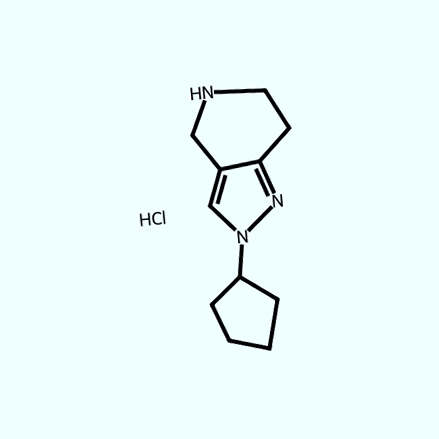 Cl.c1c2c(nn1C1CCCC1)CCNC2